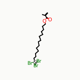 C=C(C)C(=O)OCCCCCCCCCCCCCC[Si](Br)(Br)Br